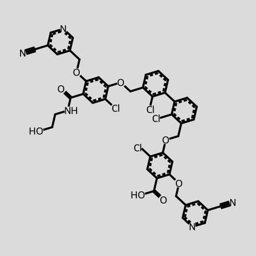 N#Cc1cncc(COc2cc(OCc3cccc(-c4cccc(COc5cc(OCc6cncc(C#N)c6)c(C(=O)NCCO)cc5Cl)c4Cl)c3Cl)c(Cl)cc2C(=O)O)c1